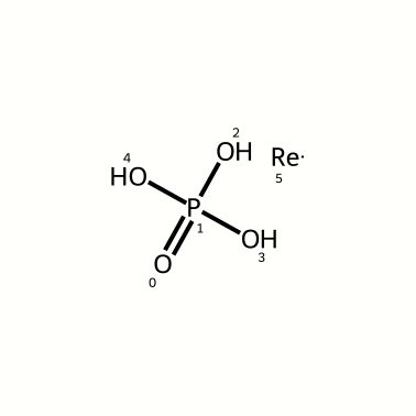 O=P(O)(O)O.[Re]